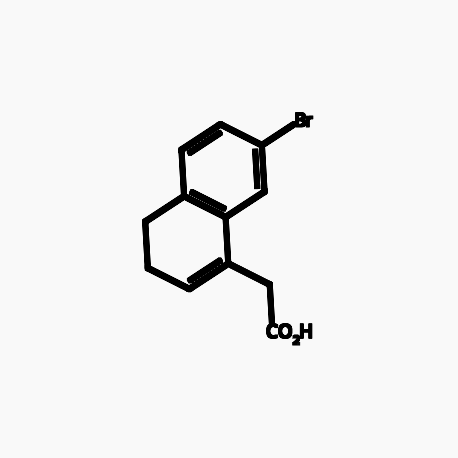 O=C(O)CC1=CCCc2ccc(Br)cc21